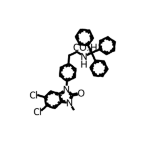 Cn1c(=O)n(-c2ccc(CC(NC(c3ccccc3)(c3ccccc3)c3ccccc3)C(=O)O)cc2)c2cc(Cl)c(Cl)cc21